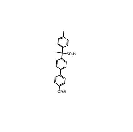 [CH2]C(c1ccc(C)cc1)(c1ccc(-c2ccc(OC)cc2)cc1)S(=O)(=O)O